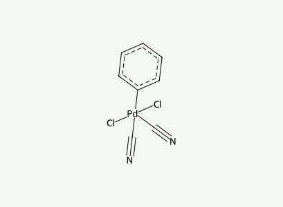 N#[C][Pd]([Cl])([Cl])([C]#N)[c]1ccccc1